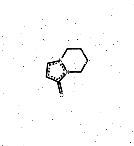 O=c1ccn2n1CCCC2